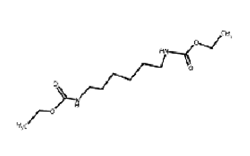 CCOC(=O)NCCCCCCNC(=O)OCC